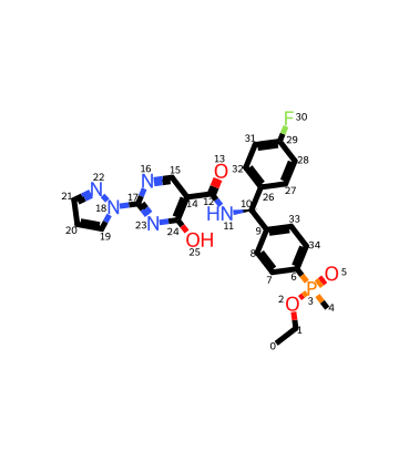 CCOP(C)(=O)c1ccc([C@@H](NC(=O)c2cnc(-n3cccn3)nc2O)c2ccc(F)cc2)cc1